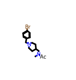 CC(=O)N(C)CC1CCN(Cc2ccc(Br)cc2)CC1